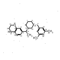 Cc1cc(C[C@H]2CCCN(C(C)c3cnc4c(c3)OCCN4)C2)cc(C)n1